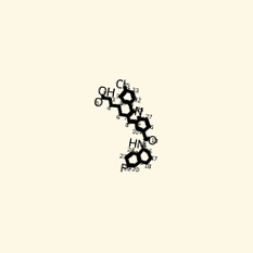 O=C(O)CCCCc1cc2cc(C(=O)N[C@@H]3CCCc4cc(F)ccc43)ccc2nc1-c1ccc(Cl)cc1